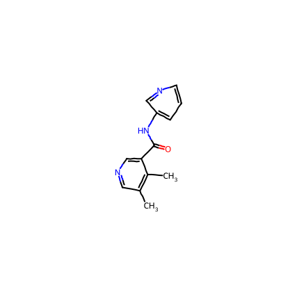 Cc1cncc(C(=O)Nc2cccnc2)c1C